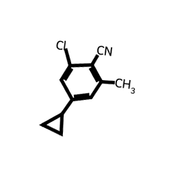 Cc1cc(C2CC2)cc(Cl)c1C#N